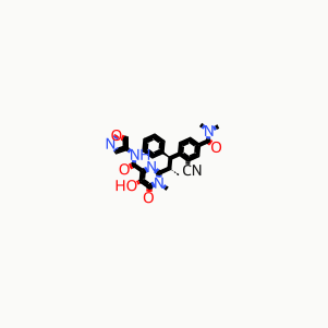 C[C@H](c1nc(C(=O)Nc2cnoc2)c(O)c(=O)n1C)[C@@H](c1ccccc1)c1ccc(C(=O)N(C)C)cc1C#N